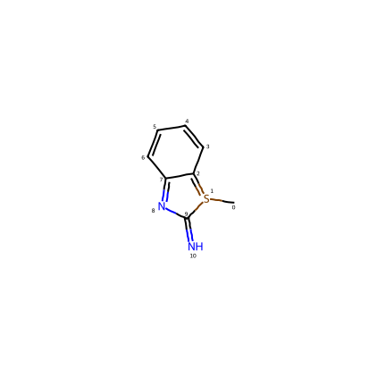 CS1=c2ccccc2=NC1=N